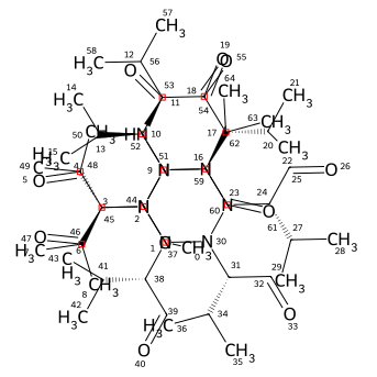 CON([C@H](C=O)C(C)C)N([C@H](C=O)C(C)C)N([C@H](C=O)C(C)C)N([C@H](C=O)C(C)C)N([C@H](C=O)C(C)C)N([C@H](C=O)C(C)C)N([C@H](C=O)C(C)C)N(N[C@H](C=O)C(C)C)[C@H](C=O)C(C)C